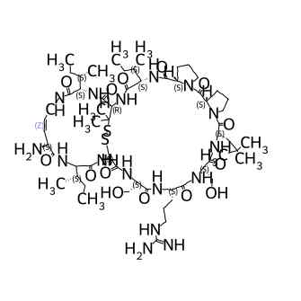 CC[C@H](C)C1NC(=O)[C@@H](N)/C=C\CNC(=O)[C@H]([C@@H](C)CC)NC(=O)[C@H]2NC(=O)[C@H]([C@@H](C)CC)NC(=O)[C@@H]3CCCN3C(=O)[C@@H]3CCCN3C(=O)[C@H](CC(C)(C)C)NC(=O)[C@H](CO)NC(=O)[C@H](CCCNC(=N)N)NC(=O)[C@H](CO)NC(=O)[C@@H](NC1=O)SSC2(C)C